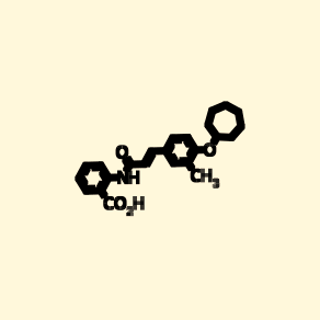 Cc1cc(/C=C/C(=O)Nc2ccccc2C(=O)O)ccc1OC1CCCCCC1